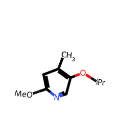 COc1cc(C)c(OC(C)C)cn1